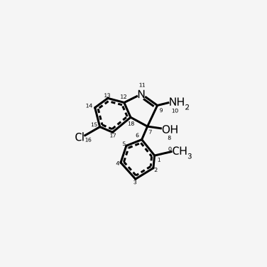 Cc1ccccc1C1(O)C(N)=Nc2ccc(Cl)cc21